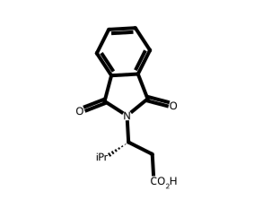 CC(C)[C@@H](CC(=O)O)N1C(=O)c2ccccc2C1=O